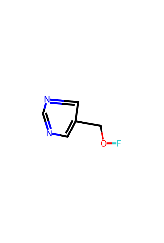 FOCc1cncnc1